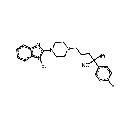 CCn1c(N2CCN(CCCC(C#N)(c3ccc(F)cc3)C(C)C)CC2)nc2ccccc21